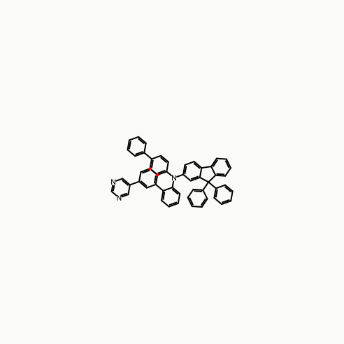 c1ccc(-c2ccc(N(c3ccc4c(c3)C(c3ccccc3)(c3ccccc3)c3ccccc3-4)c3ccccc3-c3cccc(-c4cncnc4)c3)cc2)cc1